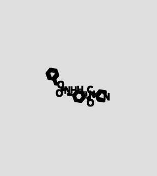 CN(c1ccncc1)C(=O)[C@H]1CC[C@H](CNC(=O)OCc2ccccc2)CC1